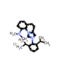 CC(C)c1cccc(C(C)C)c1-[n+]1cc2ccc3cccc(N(C)C)c3n2c1.[Cl-]